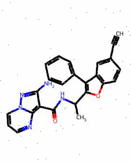 C#Cc1ccc2oc(C(C)NC(=O)c3c(N)nn4cccnc34)c(-c3ccccc3)c2c1